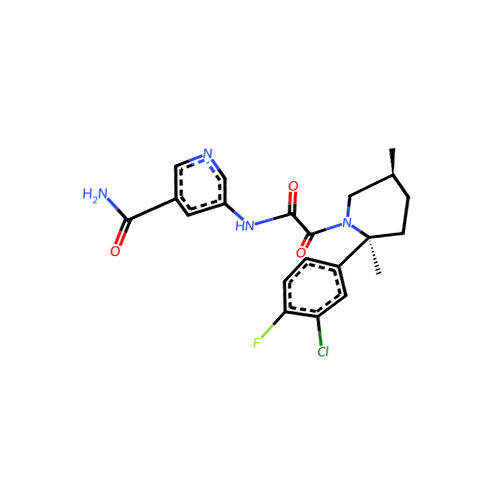 C[C@H]1CC[C@@](C)(c2ccc(F)c(Cl)c2)N(C(=O)C(=O)Nc2cncc(C(N)=O)c2)C1